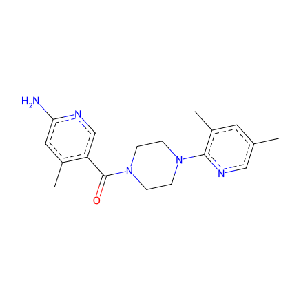 Cc1cnc(N2CCN(C(=O)c3cnc(N)cc3C)CC2)c(C)c1